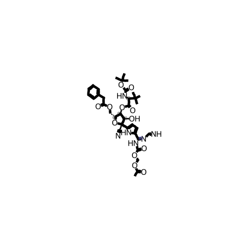 CC(=O)OCOC(=O)N/C(=N/C=N)c1ccc([C@]2(C#N)O[C@H](COC(=O)Cc3ccccc3)[C@@H](OC(=O)[C@@H](NC(=O)OC(C)(C)C)C(C)(C)C)[C@H]2O)[nH]1